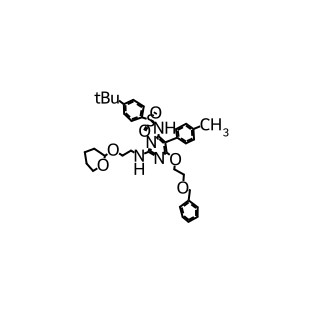 Cc1ccc(-c2c(NS(=O)(=O)c3ccc(C(C)(C)C)cc3)nc(NCCOC3CCCCO3)nc2OCCOCc2ccccc2)cc1